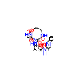 CC(C)C[C@H](NC(=O)[C@@H]1CC(=O)NCCCCCCOC(=O)N[C@@H](C(C)C)C(=O)N1)[C@@H](O)C[C@@H](C)C(=O)N[C@H](C(=O)NCc1ccccc1)C(C)C